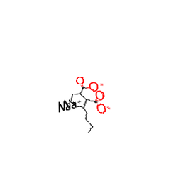 CCCCC1CCCC(C(=O)[O-])C1C(=O)[O-].[Na+].[Na+]